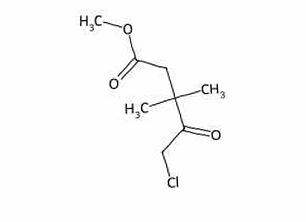 COC(=O)CC(C)(C)C(=O)CCl